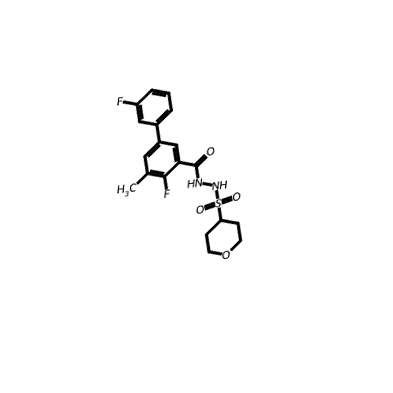 Cc1cc(-c2cccc(F)c2)cc(C(=O)NNS(=O)(=O)C2CCOCC2)c1F